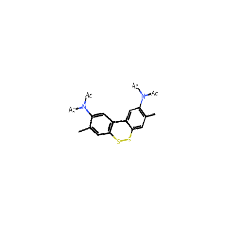 CC(=O)N(C(C)=O)c1cc2c(cc1C)SSc1cc(C)c(N(C(C)=O)C(C)=O)cc1-2